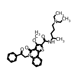 CCN(CC)CCCC(C)NC(=O)c1sc2c(c1OC)c(=O)n(CC(=O)c1ccccc1)c1ccccc21